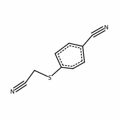 N#CCSc1ccc(C#N)cc1